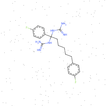 N=C(N)NC(CCCCCc1ccc(F)cc1)(NC(=N)N)c1ccc(F)cc1